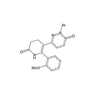 COc1ccccc1C1=C(c2ccc(=O)n(C(C)C)n2)CCC(=O)N1